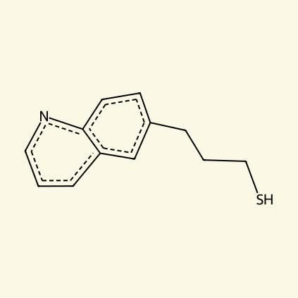 SCCCc1ccc2ncccc2c1